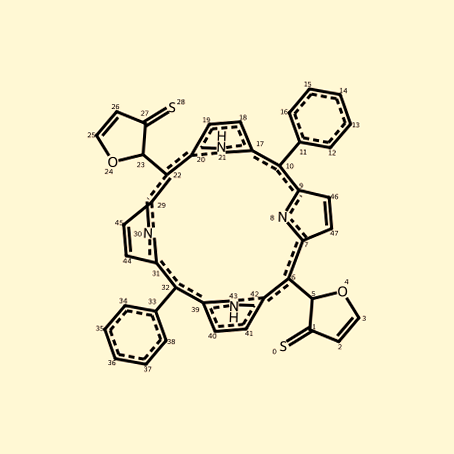 S=C1C=COC1c1c2nc(c(-c3ccccc3)c3ccc([nH]3)c(C3OC=CC3=S)c3nc(c(-c4ccccc4)c4ccc1[nH]4)C=C3)C=C2